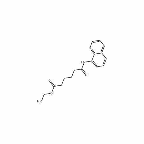 CCOC(=O)CCCCC(=O)Nc1cccc2cccnc12